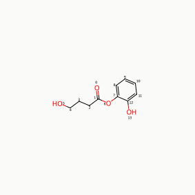 O=C(CCCO)Oc1ccccc1O